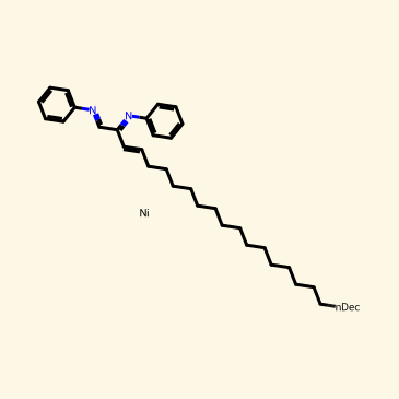 CCCCCCCCCCCCCCCCCCCCCCCCCC=CC(C=Nc1ccccc1)=Nc1ccccc1.[Ni]